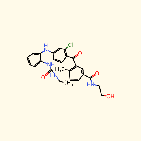 CCNC(=O)Nc1ccccc1Nc1ccc(C(=O)c2cc(C(=O)NCCO)ccc2C)c(Cl)c1